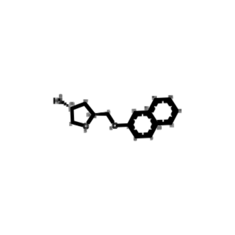 S[C@H]1CO[C@H](COc2ccc3ccccc3c2)C1